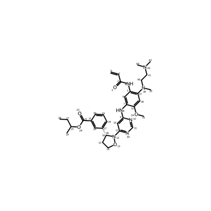 C=CC(=O)Nc1cc(Nc2cc(N3OCC[C@@H]3c3cccc(C(=O)OC(C)CC)c3)ncn2)c(OC)cc1N(C)CCN(C)C